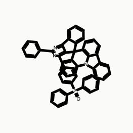 O=P(c1ccccc1)(c1ccccc1)c1ccc(-c2nc(-c3ccccc3)nc3c2C2(c4ccccc4-3)c3ccccc3-n3c4ccccc4c4cccc2c43)cc1